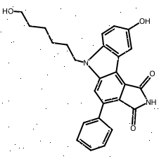 O=C1NC(=O)c2c1c(-c1ccccc1)cc1c2c2cc(O)ccc2n1CCCCCCO